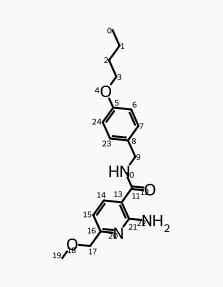 CCCCOc1ccc(CNC(=O)c2ccc(COC)nc2N)cc1